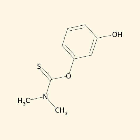 CN(C)C(=S)Oc1cccc(O)c1